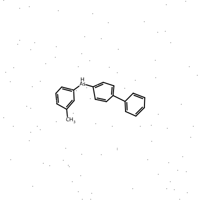 Cc1cccc([AsH]c2ccc(-c3ccccc3)cc2)c1